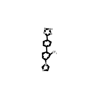 FC(F)(F)c1cc(-n2ccnc2)ccc1-c1ccc(-c2nn[nH]n2)cc1